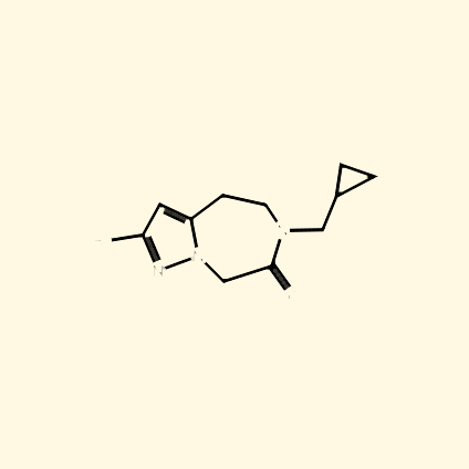 O=C1Cn2nc(Br)cc2CCN1CC1CC1